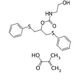 C=C(C)C(=O)O.O=C(NCCO)OC(CSc1ccccc1)CSc1ccccc1